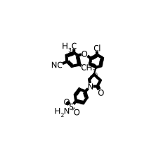 Cc1cc(C#N)cc(C)c1Oc1cc([C@H]2CC(=O)N(c3ccc(S(N)(=O)=O)cc3)C2)ccc1Cl